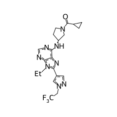 CCn1c(-c2cnn(CC(F)(F)F)c2)nc2c(N[C@H]3CCN(C(=O)C4CC4)C3)ncnc21